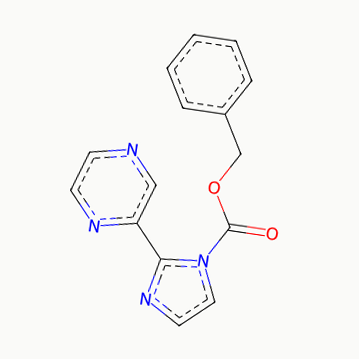 O=C(OCc1ccccc1)n1ccnc1-c1cnccn1